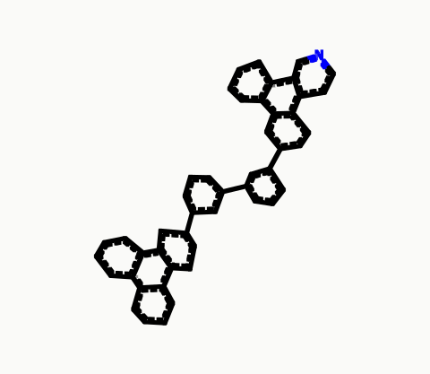 c1cc(-c2cccc(-c3ccc4c5ccncc5c5ccccc5c4c3)c2)cc(-c2ccc3c4ccccc4c4ccccc4c3c2)c1